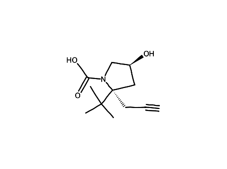 C#CC[C@@]1(C(C)(C)C)C[C@H](O)CN1C(=O)O